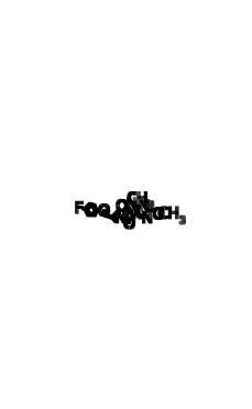 COCc1ncc2c(n1)n(C)c(=O)n2C(=O)N1CC(COc2ccc(F)cc2)C1